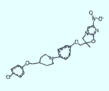 CC1(COc2ccc(N3CCC(COc4ccc(Cl)cc4)CC3)cc2)Cn2cc([N+](=O)[O-])nc2O1